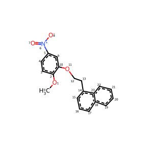 COc1ccc([N+](=O)[O-])cc1OCCc1cccc2ccccc12